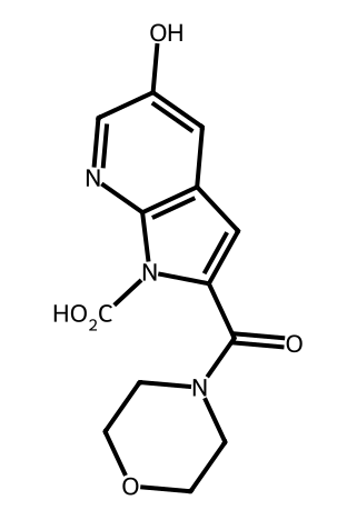 O=C(c1cc2cc(O)cnc2n1C(=O)O)N1CCOCC1